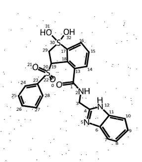 O=C(NCc1nc2ccccc2[nH]1)c1cccc2c1C(S(=O)(=O)c1ccccc1)CS2(O)O